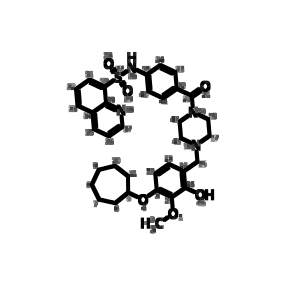 COc1c(OC2CCCCCC2)ccc(CN2CCN(C(=O)c3ccc(NS(=O)(=O)c4cccc5cccnc45)cc3)CC2)c1O